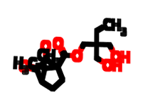 CCC(CO)(CO)COC(=O)C12CCC(C(=O)C1=O)C2(C)C